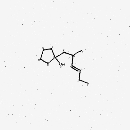 CCC=CC(C)CC1(O)CCCC1